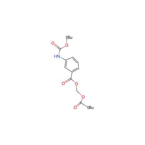 CC(C)(C)OC(=O)Nc1cccc(C(=O)OCOC(=O)C(C)(C)C)c1